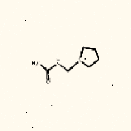 CC(=O)NCN1CCCC1